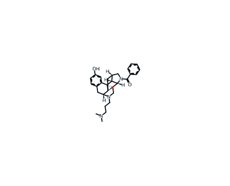 CN(C)CCCN1CC[C@@]23c4cc(O)ccc4C[C@@H]1[C@]21CC[C@@H]2[C@H]3[C@@H](CN2C(=O)c2ccccc2)C1